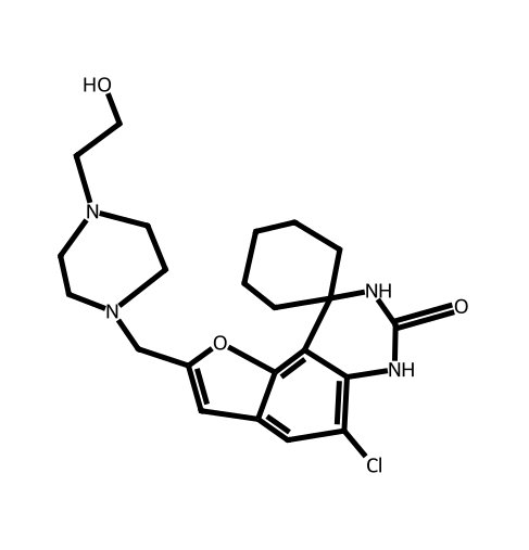 O=C1Nc2c(Cl)cc3cc(CN4CCN(CCO)CC4)oc3c2C2(CCCCC2)N1